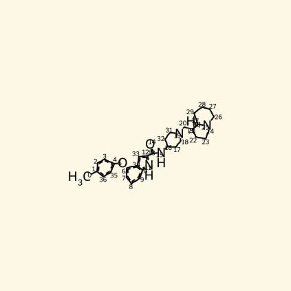 Cc1ccc(Oc2cccc3[nH]c(C(=O)NC4CCN(C[C@@H]5CCCN6CCCC[C@H]56)CC4)cc23)cc1